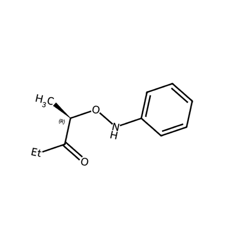 CCC(=O)[C@@H](C)ONc1ccccc1